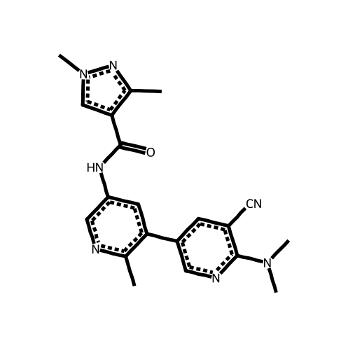 Cc1nn(C)cc1C(=O)Nc1cnc(C)c(-c2cnc(N(C)C)c(C#N)c2)c1